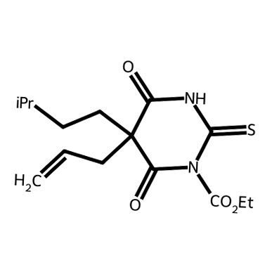 C=CCC1(CCC(C)C)C(=O)NC(=S)N(C(=O)OCC)C1=O